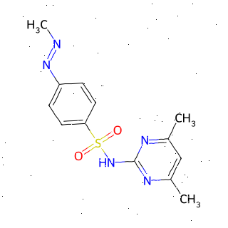 CN=Nc1ccc(S(=O)(=O)Nc2nc(C)cc(C)n2)cc1